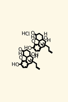 C=CCN1CC[C@]23c4c5ccc(O)c4O[C@H]2C(=O)CC[C@@]3(O)[C@H]1C5.C=CCN1CC[C@]23c4c5ccc(O)c4O[C@H]2C(=O)CC[C@@]3(O)[C@H]1C5.Cl